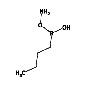 CCCCB(O)ON